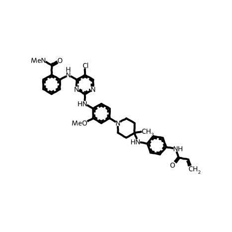 C=CC(=O)Nc1ccc(NC2(C)CCN(c3ccc(Nc4ncc(Cl)c(Nc5ccccc5C(=O)NC)n4)c(OC)c3)CC2)cc1